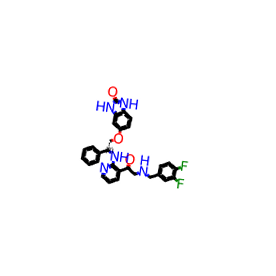 O=C(CNCc1ccc(F)c(F)c1)c1cccnc1N[C@@H](COc1ccc2[nH]c(=O)[nH]c2c1)c1ccccc1